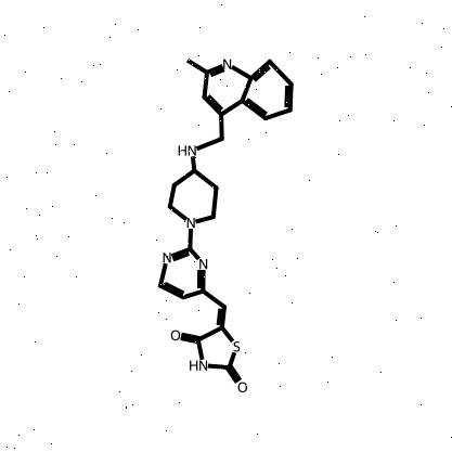 Cc1cc(CNC2CCN(c3nccc(/C=C4/SC(=O)NC4=O)n3)CC2)c2ccccc2n1